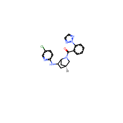 O=C(c1ccccc1-n1nccn1)N1C[C@H]2CC(Nc3ccc(Cl)cn3)C1C2